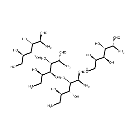 NC[C@@H](O)[C@@H](O)[C@H](O)[C@H](N)C=O.NC[C@@H](O)[C@H](O)[C@H](O)[C@@H](N)C=O.N[C@@H](C=O)[C@@H](O)[C@@H](O)[C@H](O)CO.N[C@H](C=O)[C@@H](O)[C@H](O)[C@H](O)CO